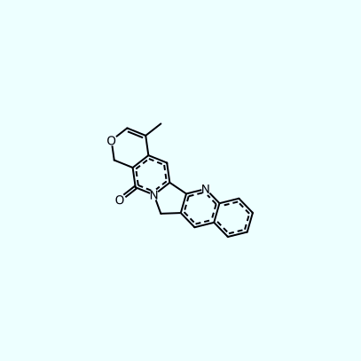 CC1=COCc2c1cc1n(c2=O)Cc2cc3ccccc3nc2-1